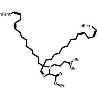 CCCCC/C=C\C/C=C\CCCCCCCCC1(CCCCCCCC/C=C\C/C=C\CCCCC)C=NC(C(=O)OC(C)C)N1CCCN(CCCC)CCCC